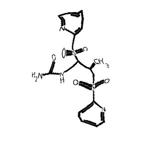 CC(C(NC(N)=O)S(=O)(=O)c1ccccn1)S(=O)(=O)c1ccccn1